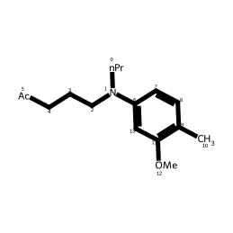 CCCN(CCCC(C)=O)c1ccc(C)c(OC)c1